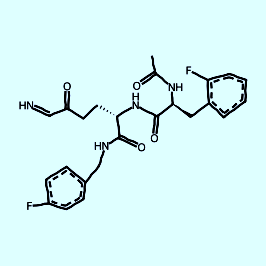 CC(=O)N[C@@H](Cc1ccccc1F)C(=O)N[C@@H](CCC(=O)C=N)C(=O)NCc1ccc(F)cc1